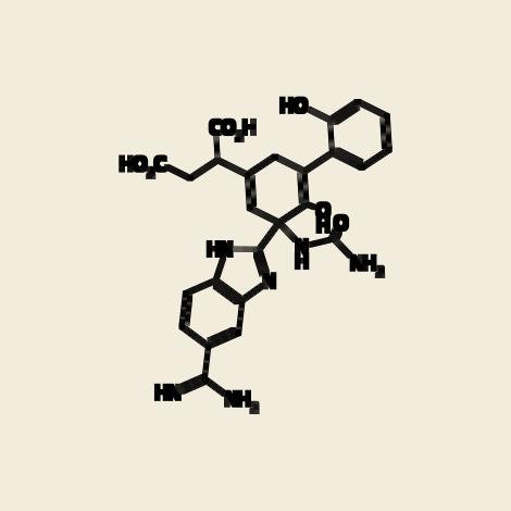 N=C(N)c1ccc2[nH]c(C3(NC(N)=O)C=C(C(CC(=O)O)C(=O)O)CC(c4ccccc4O)=C3O)nc2c1